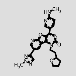 CNc1ccc(-c2nc(=O)n(CCC3CCCO3)c3c2oc2ncc(-c4cnn(C)n4)cc23)cn1